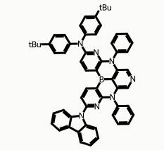 CC(C)(C)c1ccc(N(c2ccc(C(C)(C)C)cc2)c2ccc3c(n2)N(c2ccccc2)c2cncc4c2B3c2ccc(-n3c5ccccc5c5ccccc53)nc2N4c2ccccc2)cc1